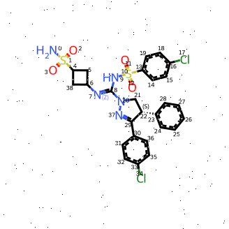 NS(=O)(=O)C1CC(/N=C(\NS(=O)(=O)c2ccc(Cl)cc2)N2C[C@H](c3ccccc3)C(c3ccc(Cl)cc3)=N2)C1